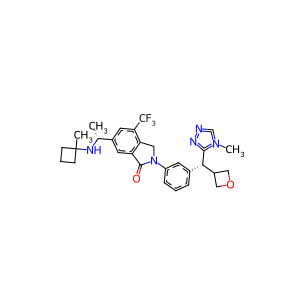 C[C@@H](NC1(C)CCC1)c1cc2c(c(C(F)(F)F)c1)CN(c1cccc([C@H](c3nncn3C)C3COC3)c1)C2=O